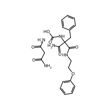 NC(=O)C(Cc1ccccc1)(NC(=O)O)C(=O)NCCOc1ccccc1.NC(=O)CC(N)=O